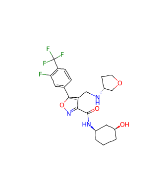 O=C(N[C@@H]1CCC[C@H](O)C1)c1noc(-c2ccc(C(F)(F)F)c(F)c2)c1CN[C@@H]1CCOC1